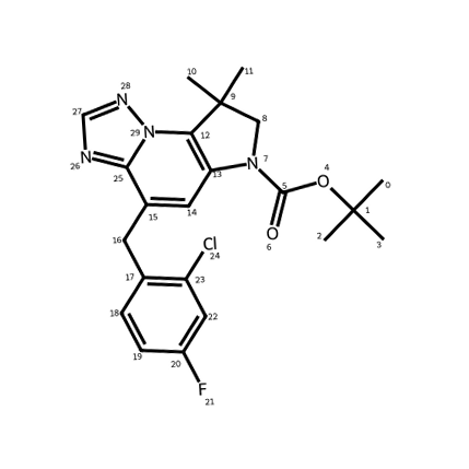 CC(C)(C)OC(=O)N1CC(C)(C)c2c1cc(Cc1ccc(F)cc1Cl)c1ncnn21